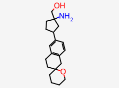 NC1(CO)CCC(c2ccc3c(c2)CCC2(CCCCO2)C3)C1